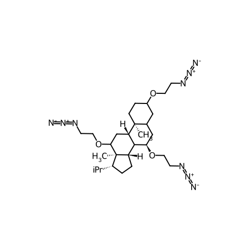 CC(C)[C@H]1CC[C@H]2C3[C@H](OCCN=[N+]=[N-])CC4CC(OCCN=[N+]=[N-])CC[C@]4(C)[C@H]3CC(OCCN=[N+]=[N-])[C@]12C